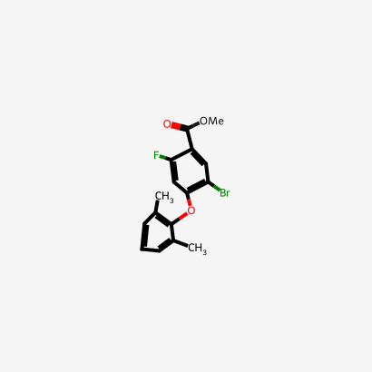 COC(=O)c1cc(Br)c(Oc2c(C)cccc2C)cc1F